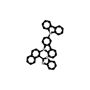 c1ccc2c(-c3nc4ccccc4s3)c(-n3c4ccccc4c4cc(-n5c6ccccc6c6ccccc65)ccc43)ccc2c1